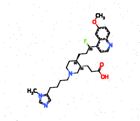 COc1ccc2nccc([C@H](F)CC[C@@H]3CCN(CCCCc4cncn4C)C[C@H]3CCC(=O)O)c2c1